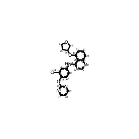 Clc1cc(Nc2ncnc3cccc(OC4CCOC4)c23)ccc1Oc1ncccn1